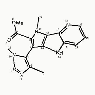 COC(=O)c1c(-c2c(C)nnn2C)c2[nH]c3cccnc3c2n1C